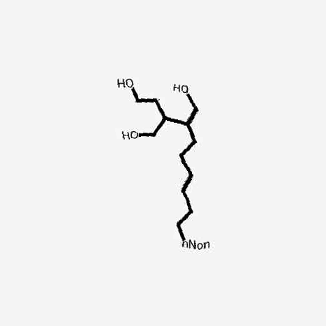 CCCCCCCCCCCCCCCC(CO)C([CH]CO)CO